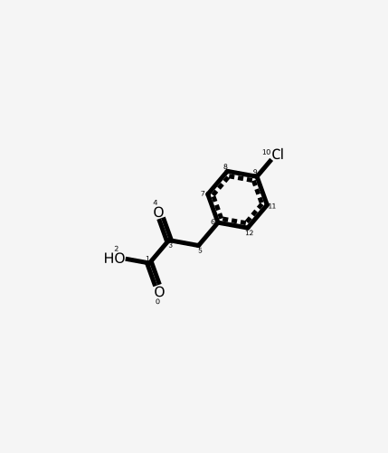 O=C(O)C(=O)Cc1ccc(Cl)cc1